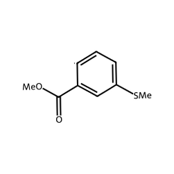 COC(=O)c1[c]ccc(SC)c1